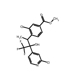 COC(=O)c1ccc(C(C)C(O)(c2ccnc(Cl)c2)C(F)(F)F)c(Cl)c1